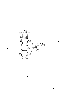 COC(=O)C(C)(C)C(c1ccccc1)c1ccc2cncn2c1